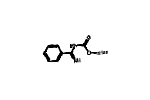 CCCCCCOC(=O)NC(=N)c1cc[c]cc1